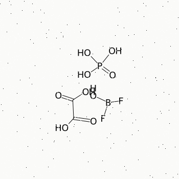 O=C(O)C(=O)O.O=P(O)(O)O.OB(F)F